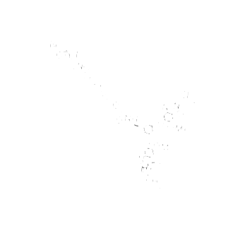 C=C1CC2C=Nc3cc(OCc4cc(C#CCNC(=O)CCOCCOCCOCCOCCNC(=O)CCNC(=O)CBr)cc(COc5cc6c(cc5OC)C(=O)N5CC(=C)C[C@H]5C=N6)c4)c(OC)cc3C(=O)N2C1